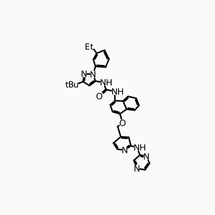 CCc1cccc(-n2nc(C(C)(C)C)cc2NC(=O)Nc2ccc(OCc3ccnc(Nc4cnccn4)c3)c3ccccc23)c1